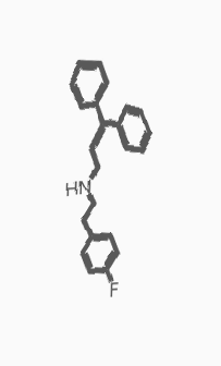 Fc1ccc(CCNCC=C(c2ccccc2)c2ccccc2)cc1